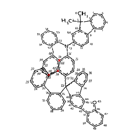 CC1(C)c2ccccc2-c2ccc(N(c3ccc4c(c3)-c3ccccc3-c3ccccc3C43c4ccccc4-c4c3ccc3c4oc4ccccc43)c3ccccc3-c3ccccc3)cc21